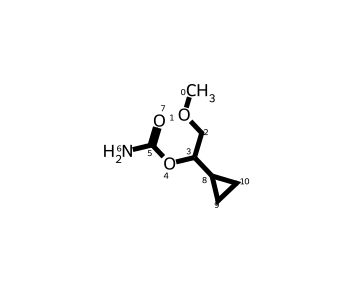 COCC(OC(N)=O)C1CC1